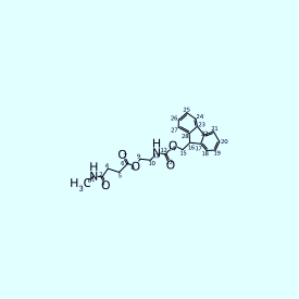 CNC(=O)CCC(=O)OCCNC(=O)OCC1c2ccccc2-c2ccccc21